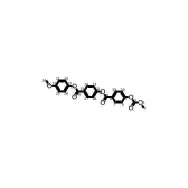 COC(=O)Oc1ccc(C(=O)Oc2ccc(C(=O)Oc3ccc(OC)cc3)cc2)cc1